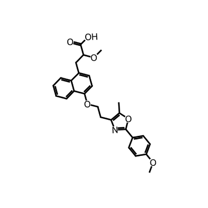 COc1ccc(-c2nc(CCOc3ccc(CC(OC)C(=O)O)c4ccccc34)c(C)o2)cc1